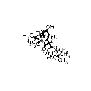 CC(O[Si](C)(C)C(C)(C)C)C1(C)C(=O)N([Si](C)(C)C(C)(C)C)C1CC(=O)O